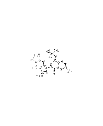 CCC(C)(O)COc1ccc(C(F)(F)F)cc1C(=O)N=c1cc(C(C)(C)C)n(C)n1C[C@H]1CCCO1